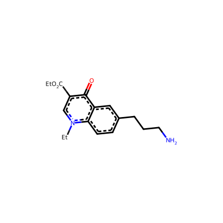 CCOC(=O)c1cn(CC)c2ccc(CCCN)cc2c1=O